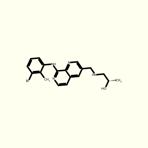 Cc1c(Br)cccc1Nc1nccc2cc(CNC[C@H](C)O)cnc12